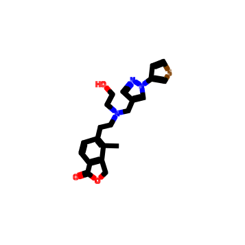 Cc1c(CCN(CCO)Cc2cnn(-c3ccsc3)c2)ccc2c1COC2=O